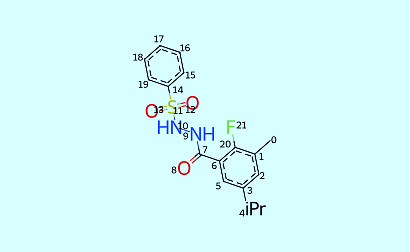 Cc1cc(C(C)C)cc(C(=O)NNS(=O)(=O)c2ccccc2)c1F